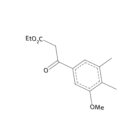 CCOC(=O)CC(=O)c1cc(C)c(C)c(OC)c1